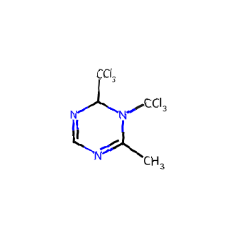 CC1=NC=NC(C(Cl)(Cl)Cl)N1C(Cl)(Cl)Cl